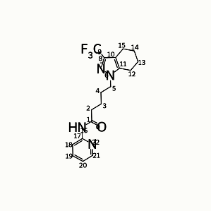 O=C(CCCCn1nc(C(F)(F)F)c2c1CCCC2)Nc1ccccn1